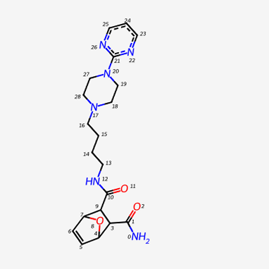 NC(=O)C1C2C=CC(O2)C1C(=O)NCCCCN1CCN(c2ncccn2)CC1